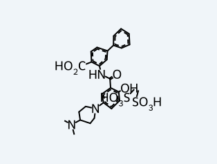 CN(C)C1CCN(c2ccc(O)c(C(=O)Nc3cc(-c4ccccc4)ccc3C(=O)O)c2)CC1.CS(=O)(=O)O.CS(=O)(=O)O